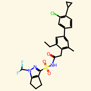 CCc1cc(-c2ccc(C3CC3)c(Cl)c2)cc(C)c1CC(=O)NS(=O)(=O)c1nn(C(F)F)c2c1CCC2